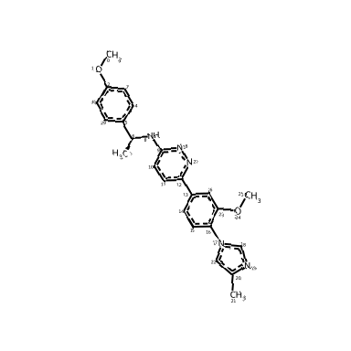 COc1ccc([C@H](C)Nc2ccc(-c3ccc(-n4cnc(C)c4)c(OC)c3)nn2)cc1